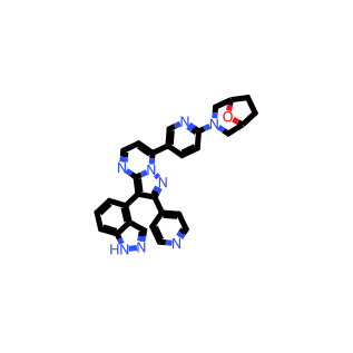 c1cc(-c2c(-c3ccncc3)nn3c(-c4ccc(N5CC6CCC(C5)O6)nc4)ccnc23)c2cn[nH]c2c1